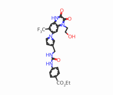 CCOC(=O)c1ccc(NC(=O)NCc2ccn(-c3cc4c(cc3C(F)(F)F)[nH]c(=O)c(=O)n4CCO)c2)cc1